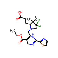 CCOC(=O)C1=C(CN2CC(F)(F)C(C)(C)[C@@H]2CCC(=O)O)NC(c2nccs2)=NC1